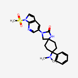 CN(C)C1(c2ccccc2)CCC2(CC1)CN(c1cnc3c(ccn3S(C)(=O)=O)c1)C(=O)N2